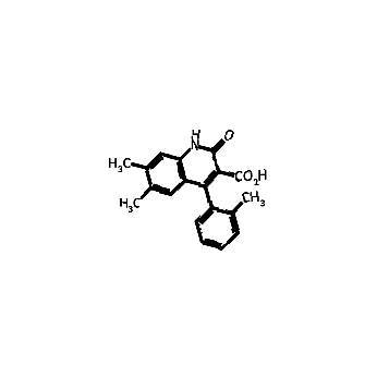 Cc1cc2[nH]c(=O)c(C(=O)O)c(-c3ccccc3C)c2cc1C